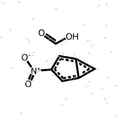 O=CO.O=[N+]([O-])c1cc2cc-2c1